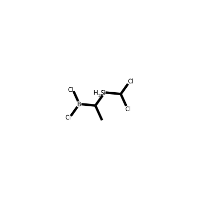 CC([SiH2]C(Cl)Cl)B(Cl)Cl